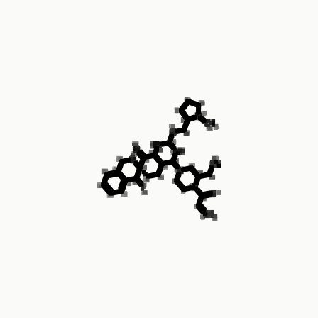 C=CC(=O)N1CCN(C2NC(OCC3CCCN3C)NC3C(=O)[C@]4(CCC32)OCc2ccccc2C4F)CC1CC#N